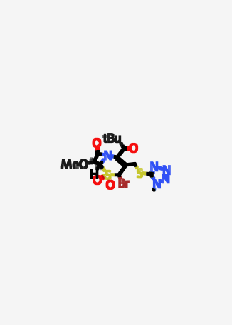 CO[C@H]1C(=O)N2C(C(=O)C(C)(C)C)=C(CSc3nnnn3C)C(Br)S(=O)(=O)[C@H]12